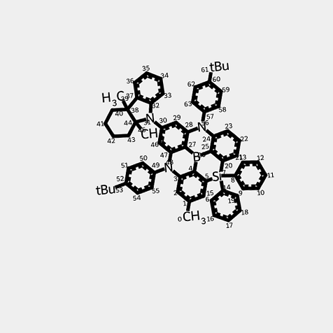 Cc1cc2c3c(c1)[Si](c1ccccc1)(c1ccccc1)c1cccc4c1B3c1c(cc(N3c5ccccc5C5(C)CCCCC35C)cc1N2c1ccc(C(C)(C)C)cc1)N4c1ccc(C(C)(C)C)cc1